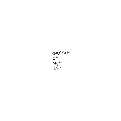 [Fe+2].[Mg+2].[O-2].[O-2].[O-2].[Zn+2]